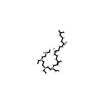 CCNCCN(CC)CCN(CC)CCN(CC)CC=C(C)CCC[C@H](C)CCC[C@H](C)CCCC(C)C